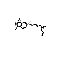 C=CCN(C)CC=CCOc1ccc2c(C)nn(C)c2c1